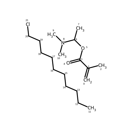 C=C(C)C(=O)OC(C)N(C)C.CCCCCCCCCCCl